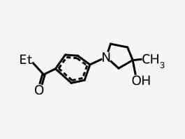 CCC(=O)c1ccc(N2CCC(C)(O)C2)cc1